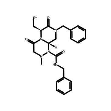 CC(C)C[C@H]1C(=O)N(Cc2ccccc2)C[C@H]2N1C(=O)CN(C)N2C(=O)NCc1ccccc1